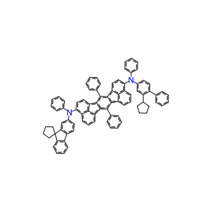 c1ccc(-c2ccc(N(c3ccccc3)c3ccc4c5c(-c6ccccc6)c6c7ccc(N(c8ccccc8)c8ccc9c(c8)C8(CCCC8)c8ccccc8-9)c8cccc(c6c(-c6ccccc6)c5c5cccc3c54)c87)cc2C2CCCC2)cc1